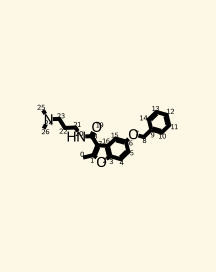 Cc1oc2ccc(OCc3ccccc3)cc2c1C(=O)NCCCN(C)C